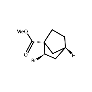 COC(=O)[C@@]12CC[C@H](C[C@H]1Br)C2